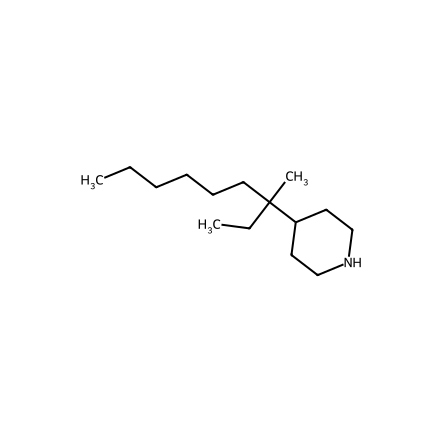 CCCCCCC(C)(CC)C1CCNCC1